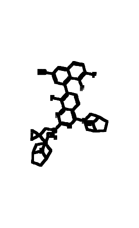 CN1CC2CCC(C1)N2CC1(COc2nc(N3CC4CCC(C3)N4)c3ccc(-c4cc(O)cc5ccc(F)c(F)c45)c(F)c3n2)CC1